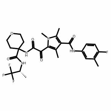 Cc1cc(NC(=O)c2c(C)c(C(=O)C(=O)NC3(C(=O)N[C@H](C)C(F)(F)F)CCOCC3)n(C)c2C)ccc1F